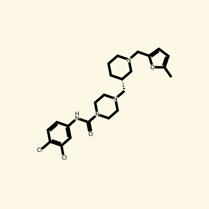 Cc1ccc(CN2CCC[C@@H](CN3CCN(C(=O)Nc4ccc(Cl)c(Cl)c4)CC3)C2)o1